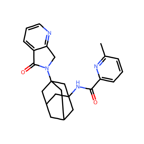 Cc1cccc(C(=O)NC23CC4CC(C2)CC(N2Cc5ncccc5C2=O)(C4)C3)n1